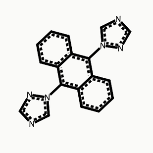 c1ccc2c(-n3cncn3)c3ccccc3c(-n3cncn3)c2c1